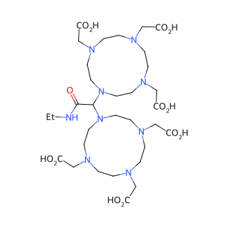 CCNC(=O)C(N1CCN(CC(=O)O)CCN(CC(=O)O)CCN(CC(=O)O)CC1)N1CCN(CC(=O)O)CCN(CC(=O)O)CCN(CC(=O)O)CC1